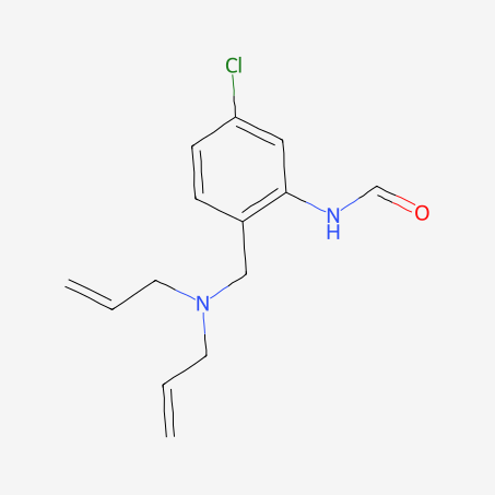 C=CCN(CC=C)Cc1ccc(Cl)cc1NC=O